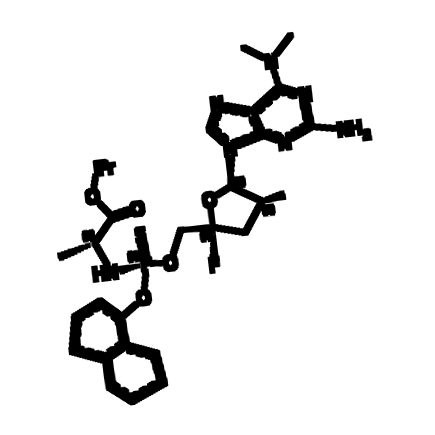 CC(C)OC(=O)[C@@H](C)N[P@](=S)(OC[C@]1(F)C[C@H](C)[C@H](n2cnc3c(N(C)C)nc(N)nc32)O1)Oc1cccc2ccccc12